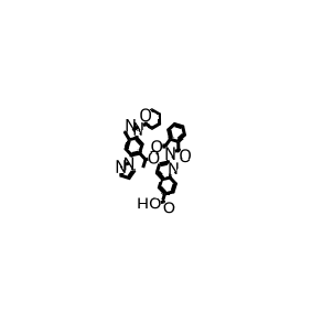 CC(Oc1cc2cc(C(=O)O)ccc2nc1N1C(=O)c2ccccc2C1=O)c1cc2c(cnn2C2CCCCO2)cc1-n1cccn1